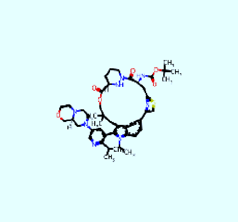 CCn1c(-c2cc(N3CCN4CCOC[C@@H]4C3)cnc2C(C)C)c2c3cc(ccc31)-c1csc(n1)C[C@H](NC(=O)OC(C)(C)C)C(=O)N1CCC[C@H](N1)C(=O)OCC(C)(C)C2